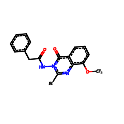 CCc1nc2c(OC(F)(F)F)cccc2c(=O)n1NC(=O)Cc1ccccc1